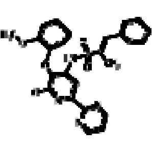 COc1ccccc1Oc1c(Cl)nc(-c2ncccn2)nc1NS(=O)(=O)C(C)=Cc1ccccc1